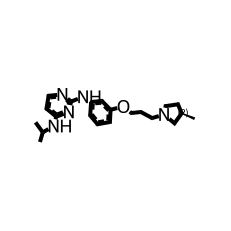 CC(C)Nc1ccnc(Nc2cccc(OCCCN3CC[C@@H](C)C3)c2)n1